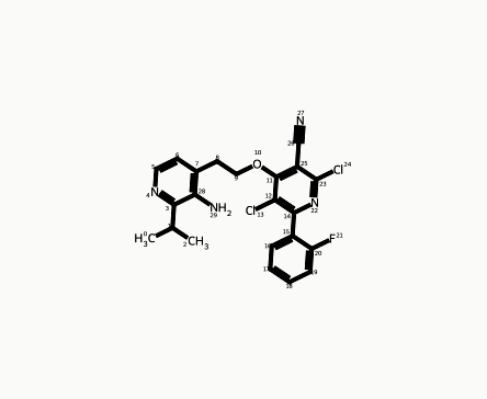 CC(C)c1nccc(CCOc2c(Cl)c(-c3ccccc3F)nc(Cl)c2C#N)c1N